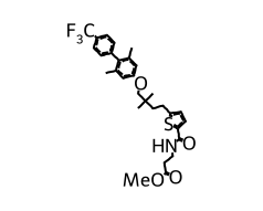 COC(=O)CCNC(=O)c1ccc(CCC(C)(C)COc2cc(C)c(-c3ccc(C(F)(F)F)cc3)c(C)c2)s1